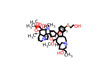 CC[C@]1(O)C[C@H]2CN(CCC3=C(Cc4ccc(SCCO)cc43)[C@@](C(=O)OC)(C3C=C4C(=CC3OC)N(C)[C@H]3[C@@](O)(C(=O)OC)[C@H](OC(C)=O)[C@]5(CC)C=CCN6CC[C@]43[C@@H]65)C2)C1